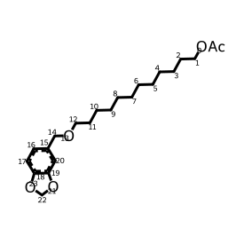 CC(=O)OCCCCCCCCCCCCOCc1ccc2c(c1)OCO2